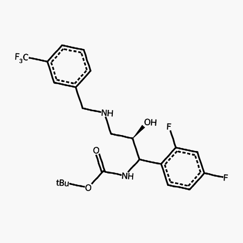 CC(C)(C)OC(=O)NC(c1ccc(F)cc1F)[C@H](O)CNCc1cccc(C(F)(F)F)c1